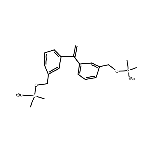 C=C(c1cccc(CO[Si](C)(C)C(C)(C)C)c1)c1cccc(CO[Si](C)(C)C(C)(C)C)c1